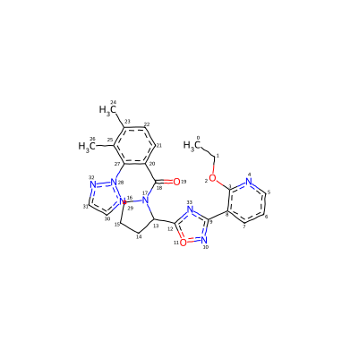 CCOc1ncccc1-c1noc(C2CCCN2C(=O)c2ccc(C)c(C)c2-n2nccn2)n1